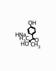 CC(C)(O)C(=O)c1ccc(O)cc1.[NaH]